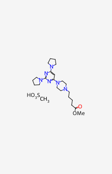 COC(=O)CCCCN1CCN(c2cc(N3CCCC3)nc(N3CCCC3)n2)CC1.CS(=O)(=O)O